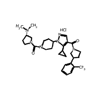 CN(C)[C@H]1CCN(C(=O)N2CCC(n3ncc(C(=O)N4CCC(c5ccccc5C(F)(F)F)C4)c3C3CC3)CC2)C1.Cl